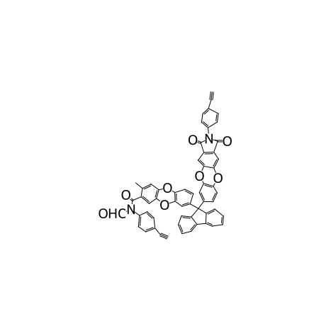 C#Cc1ccc(N(C=O)C(=O)c2cc3c(cc2C)Oc2ccc(C4(c5ccc6oc7cc8c(=O)n(-c9ccc(C#C)cc9)c(=O)c8cc7oc6c5)c5ccccc5-c5ccccc54)cc2O3)cc1